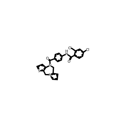 O=C(Nc1ccc(C(=O)N2Cc3cccn3Cc3sccc32)cc1)c1ccc(Cl)cc1Cl